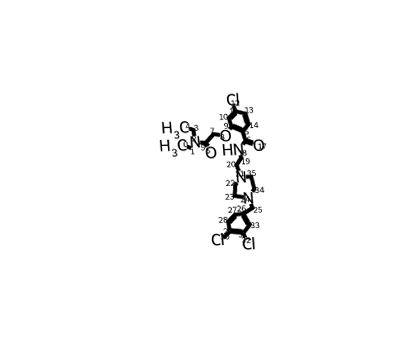 CCN(CC)C(=O)COc1cc(Cl)ccc1C(=O)NCCN1CCN(Cc2ccc(Cl)c(Cl)c2)CC1